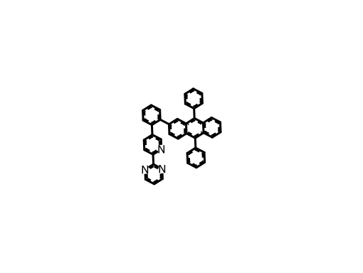 c1ccc(-c2c3ccccc3c(-c3ccccc3)c3cc(-c4ccccc4-c4ccc(-c5ncccn5)nc4)ccc23)cc1